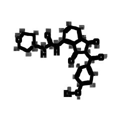 CCOc1ccc(C(=O)C2C(=O)c3cccc(NC(=O)NN4CCOCC4)c3C2=O)cc1